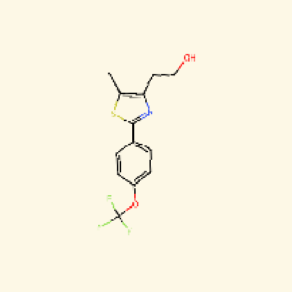 Cc1sc(-c2ccc(OC(F)(F)F)cc2)nc1CCO